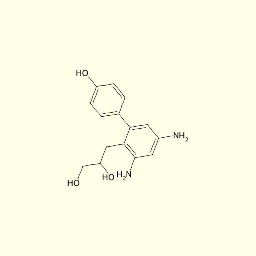 Nc1cc(N)c(CC(O)CO)c(-c2ccc(O)cc2)c1